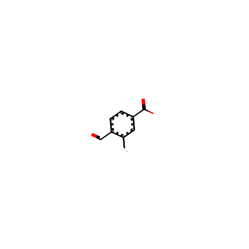 O=Cc1ccc(C(=O)O)cc1[SiH3]